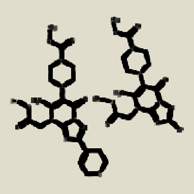 Cc1c(N2CCN(C(=O)OC(C)(C)C)CC2)c(=O)n2nc(Br)nc2n1CC(=O)OC(C)(C)C.Cc1c(N2CCN(C(=O)OC(C)(C)C)CC2)c(=O)n2nc(C3=CCOCC3)nc2n1CC(=O)OC(C)(C)C